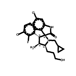 N[C@@H]1[C@H](CCCO)N(CC2CC2)[C@@]2(C(=O)Nc3cc(Cl)ccc32)[C@H]1c1cccc(Cl)c1F